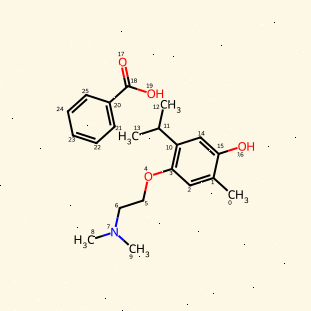 Cc1cc(OCCN(C)C)c(C(C)C)cc1O.O=C(O)c1ccccc1